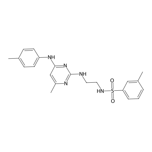 Cc1ccc(Nc2cc(C)nc(NCCNS(=O)(=O)c3cccc(C)c3)n2)cc1